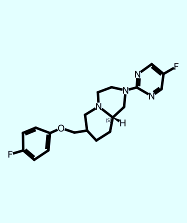 Fc1ccc(OCC2CC[C@H]3CN(c4ncc(F)cn4)CCN3C2)cc1